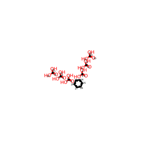 O=C(O)O.O=C(O)O.O=C(O)O.O=C(O)O.O=C(O)O.O=C(O)O.c1ccccc1